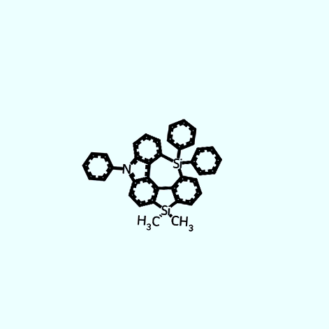 C[Si]1(C)c2cccc3c2-c2c1ccc1c2c2c(cccc2n1-c1ccccc1)[Si]3(c1ccccc1)c1ccccc1